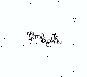 C=C(C)C(=O)OC(CCCC)COC(=O)c1ccc(C(=O)OCC(CCCC)OC(=O)C(=C)C)s1